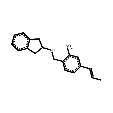 C/C=C/c1ccc(CNC2Cc3ccccc3C2)c([N+](=O)[O-])c1